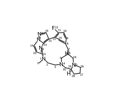 CN1CCN2C[C@H](Cc3ccc(F)c(c3)-c3cnn4ccc1nc34)CN1CCC[C@H]1C2